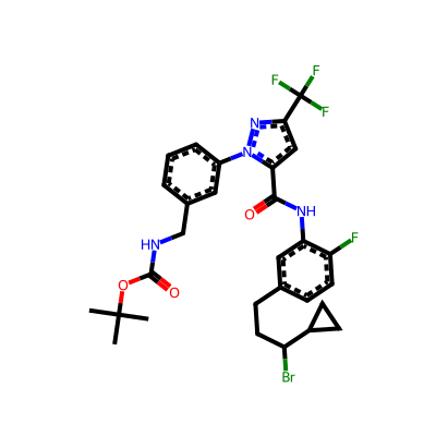 CC(C)(C)OC(=O)NCc1cccc(-n2nc(C(F)(F)F)cc2C(=O)Nc2cc(CCC(Br)C3CC3)ccc2F)c1